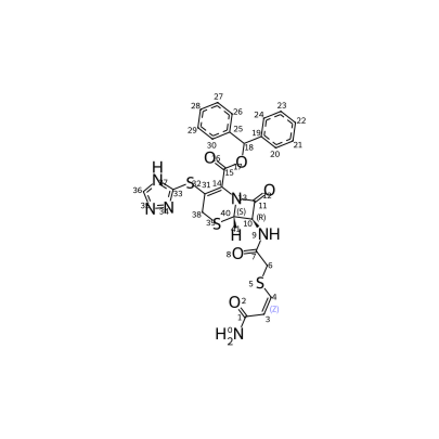 NC(=O)/C=C\SCC(=O)N[C@@H]1C(=O)N2C(C(=O)OC(c3ccccc3)c3ccccc3)=C(Sc3nnc[nH]3)CS[C@@H]12